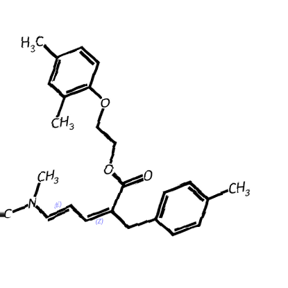 Cc1ccc(C/C(=C/C=C/N(C)C)C(=O)OCCOc2ccc(C)cc2C)cc1